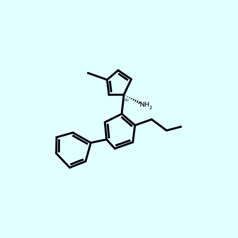 CCCc1ccc(-c2ccccc2)cc1[C@]1(N)C=CC(C)=C1